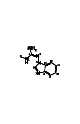 CN/C(N)=N\n1cnc2ccccc21